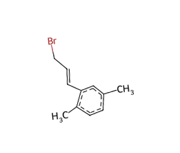 Cc1ccc(C)c(C=CCBr)c1